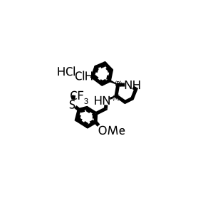 COc1ccc(SC(F)(F)F)cc1CN[C@@H]1CCCN[C@@H]1c1ccccc1.Cl.Cl